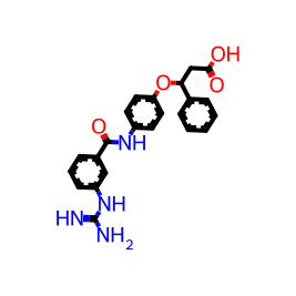 N=C(N)Nc1cccc(C(=O)Nc2ccc(OC(CC(=O)O)c3ccccc3)cc2)c1